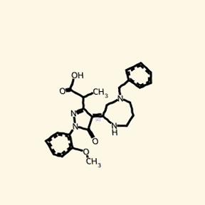 COc1ccccc1N1N=C(C(C)C(=O)O)/C(=C2\CN(Cc3ccccc3)CCCN2)C1=O